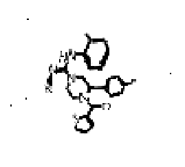 Cc1ccccc1N/C(=N/C#N)N1CCN(C(=O)c2cccs2)C(c2ccc(F)cc2)C1